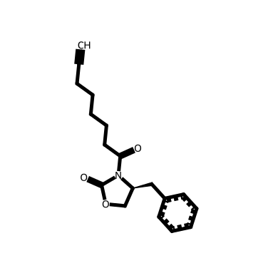 C#CCCCCCC(=O)N1C(=O)OC[C@@H]1Cc1ccccc1